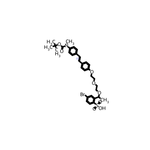 CC(OCCOCCOc1ccc(/C=C/c2ccc(N(C)C(=O)OC(C)(C)C)cc2)cc1)c1cc(Br)ccc1S(=O)(=O)O